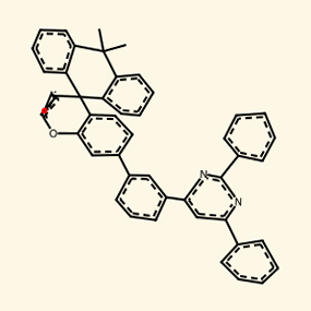 CC1(C)c2ccccc2C2(c3ccccc3Oc3cc(-c4cccc(-c5cc(-c6ccccc6)nc(-c6ccccc6)n5)c4)ccc32)c2ccccc21